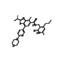 CCCc1cc(C)[nH]c(=O)c1CNC(=O)c1cc(-c2ccc(N3CCOCC3)nc2)c2sc(C(C)C)nc2c1C